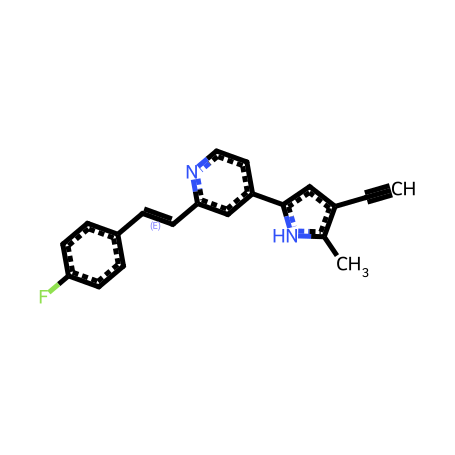 C#Cc1cc(-c2ccnc(/C=C/c3ccc(F)cc3)c2)[nH]c1C